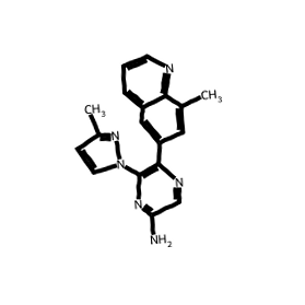 Cc1ccn(-c2nc(N)cnc2-c2cc(C)c3ncccc3c2)n1